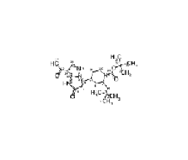 CC(C)(C)CC1CC(c2cc(=O)[nH]c3c(C(=O)O)cnn23)CCN1C(=O)OC(C)(C)C